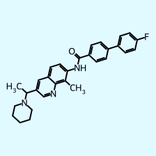 Cc1c(NC(=O)c2ccc(-c3ccc(F)cc3)cc2)ccc2cc(C(C)N3CCCCC3)cnc12